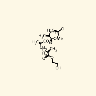 C=C(C)C(=O)O.C=C(C)C(=O)OC.C=C(C)C(=O)OCCO.C=C(Cl)Cl